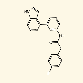 O=C(Cc1ccc(F)cc1)Nc1cccc(-c2cccc3[nH]ccc23)c1